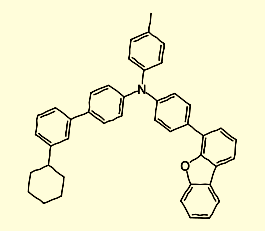 Cc1ccc(N(c2ccc(-c3cccc(C4CCCCC4)c3)cc2)c2ccc(-c3cccc4c3oc3ccccc34)cc2)cc1